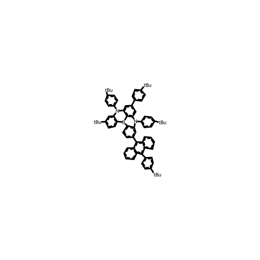 CC(C)(C)c1ccc(-c2cc3c4c(c2)N(c2ccc(C(C)(C)C)cc2)c2cc(C(C)(C)C)ccc2B4c2ccc(-c4c5ccccc5c(-c5ccc(C(C)(C)C)cc5)c5ccccc45)cc2N3c2ccc(C(C)(C)C)cc2)cc1